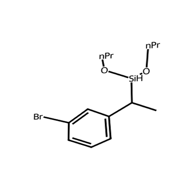 CCCO[SiH](OCCC)C(C)c1cccc(Br)c1